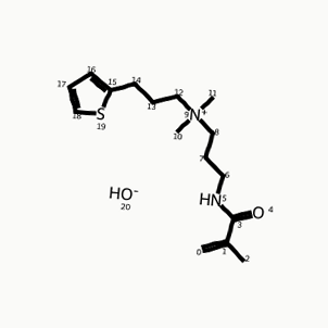 C=C(C)C(=O)NCCC[N+](C)(C)CCCc1cccs1.[OH-]